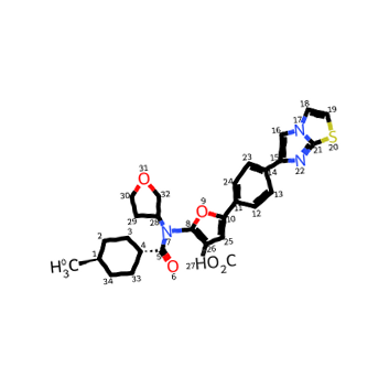 C[C@H]1CC[C@H](C(=O)N(c2oc(-c3ccc(-c4cn5ccsc5n4)cc3)cc2C(=O)O)C2CCOC2)CC1